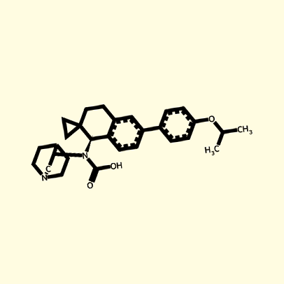 CC(C)Oc1ccc(-c2ccc3c(c2)CCC2(CC2)[C@@H]3N(C(=O)O)C2CN3CCC2CC3)cc1